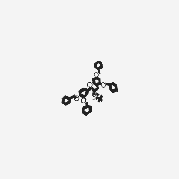 CC(C)(C)[Si](C)(C)OC1=C(c2ccc(OCc3ccccc3)c(OCc3ccccc3)c2)Oc2cc(OCc3ccccc3)cc(OCc3ccccc3)c2C1